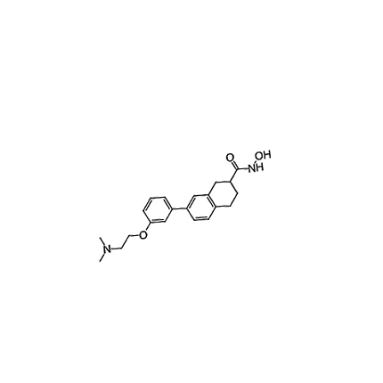 CN(C)CCOc1cccc(-c2ccc3c(c2)CC(C(=O)NO)CC3)c1